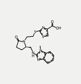 Cn1c(NC[C@H]2CCC(=O)N2CCSc2nc(C(=O)O)cs2)nc2ccccc21